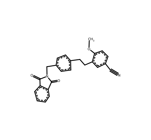 COc1ccc(C#N)cc1CCc1ccc(CN2C(=O)c3ccccc3C2=O)cc1